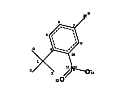 CC(C)(C)c1ccc(F)cc1[N+](=O)[O-]